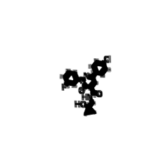 O=C(NCC1(O)CC1)c1cc(-c2ccc(Cl)cc2)nn(-c2cccc(F)c2)c1=O